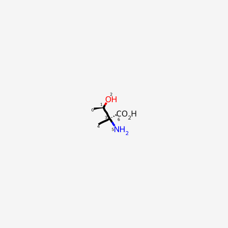 C[C@@H](O)[C@](C)(N)C(=O)O